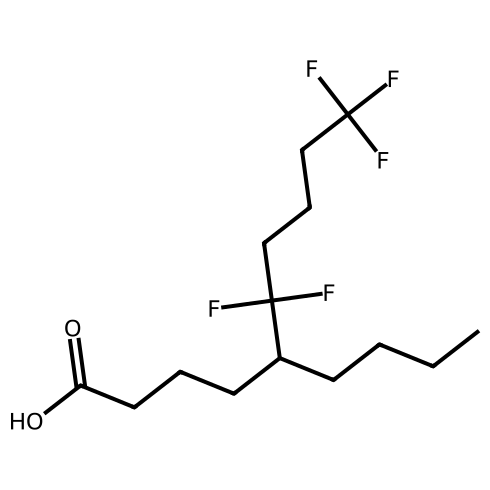 CCCCC(CCCC(=O)O)C(F)(F)CCCC(F)(F)F